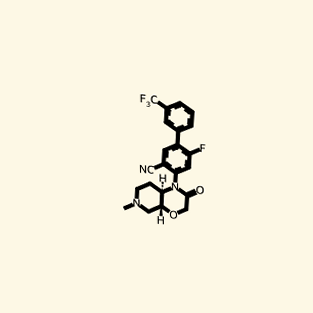 CN1CC[C@@H]2[C@@H](C1)OCC(=O)N2c1cc(F)c(-c2cccc(C(F)(F)F)c2)cc1C#N